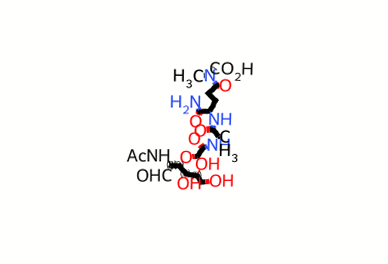 CC(=O)N[C@@H](C=O)[C@@H](OCC(=O)NC(C)C(=O)NC(CCC(=O)N(C)C(=O)O)C(N)=O)[C@H](O)[C@H](O)CO